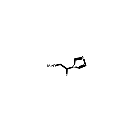 COCC(F)n1ccnc1